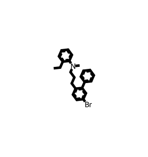 CCc1ccccc1N(C)CCCc1ccc(Br)cc1-c1ccccc1